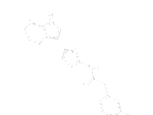 COc1cccc(CC(=O)Nc2ccc(-c3c[nH]c4ncccc34)s2)c1